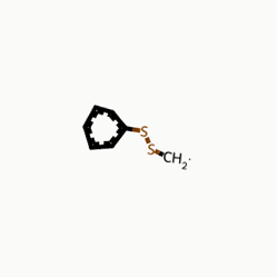 [CH2]SSc1ccccc1